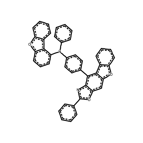 c1ccc(-c2nc3c(-c4ccc(N(c5ccccc5)c5cccc6oc7ccccc7c56)cc4)c4c(cc3o2)oc2ccccc24)cc1